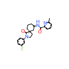 Cc1cccc(C(=O)N[C@@H]2CCC[C@]3(CCN(c4cccc(F)c4)C3=O)C2)n1